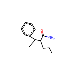 CCCC(C(N)=O)C(C)c1ccccc1